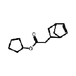 O=C(CC1CC2C=CC1C2)OC1CCCC1